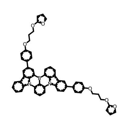 c1coc(OCCCOc2ccc(-c3ccc4c(c3)c3cccc5c3n4-c3cccc4c3B5c3cc(-c5ccc(OCCCOc6ccco6)cc5)cc5c6ccccc6n-4c35)cc2)c1